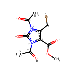 COC(=O)c1c(CBr)n(C(C)=O)c(=O)n1C(C)=O